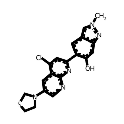 Cn1cc2cc(-c3cc(Cl)c4cc(N5CCSC5)cnc4n3)c(O)cc2n1